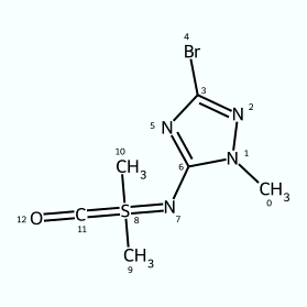 Cn1nc(Br)nc1N=S(C)(C)=C=O